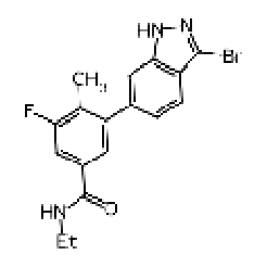 CCNC(=O)c1cc(F)c(C)c(-c2ccc3c(Br)n[nH]c3c2)c1